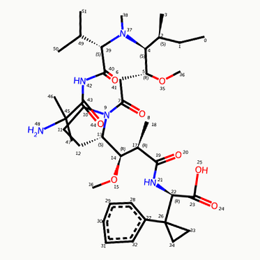 CC[C@H](C)[C@@H]([C@@H](CC(=O)N1CCC[C@H]1[C@H](OC)[C@@H](C)C(=O)N[C@@H](C(=O)O)C1(c2ccccc2)CC1)OC)N(C)[C@H](C(=O)NC(=O)C(C)(C)N)C(C)C